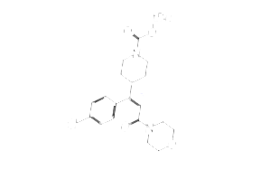 CC(C)(C)OC(=O)N1CCC(/C(=C/C(=O)N2CCOCC2)c2ccc(Cl)cc2)CC1